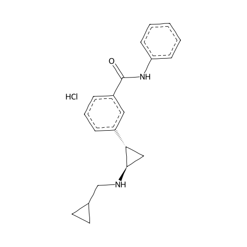 Cl.O=C(Nc1ccccc1)c1cccc([C@@H]2C[C@H]2NCC2CC2)c1